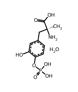 C[C@](N)(Cc1ccc(OP(=O)(O)O)c(O)c1)C(=O)O.O